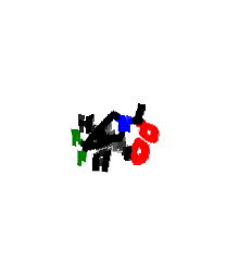 CC(=O)N1C[C@H]2[C@@H]([C@H]1C=O)C2(F)F